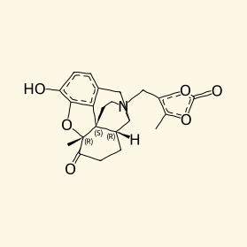 Cc1oc(=O)oc1CN1CC[C@]23c4c5ccc(O)c4O[C@@]2(C)C(=O)CC[C@H]3C1C5